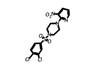 O=[N+]([O-])c1cccnc1N1CCN(S(=O)(=O)c2ccc(Cl)c(Cl)c2)CC1